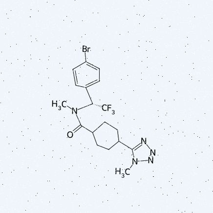 CN(C(=O)C1CCC(c2nnnn2C)CC1)[C@H](c1ccc(Br)cc1)C(F)(F)F